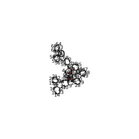 c1cc(-c2ccc(N(c3ccc4c5ccccc5c5ccccc5c4c3)c3cccc4c3C3(c5ccccc5-c5ccccc53)c3ccccc3-4)cc2)cc(-c2cccc3c2oc2ccccc23)c1